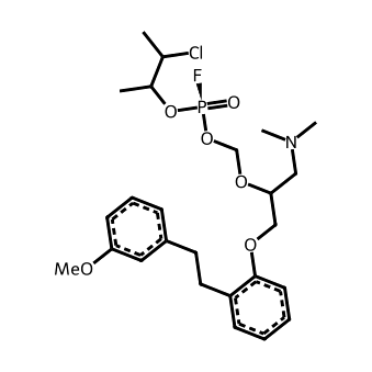 COc1cccc(CCc2ccccc2OCC(CN(C)C)OCO[P@](=O)(F)OC(C)C(C)Cl)c1